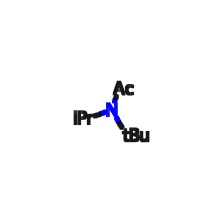 [CH2]C(=O)N(C(C)C)C(C)(C)C